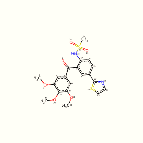 COc1cc(C(=O)c2cc(-c3nccs3)ccc2NS(C)(=O)=O)cc(OC)c1OC